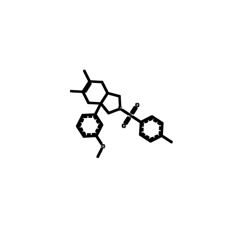 COc1cccc(C23CC(C)=C(C)CC2CN(S(=O)(=O)c2ccc(C)cc2)C3)c1